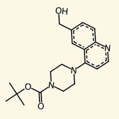 CC(C)(C)OC(=O)N1CCN(c2ccnc3ccc(CO)cc23)CC1